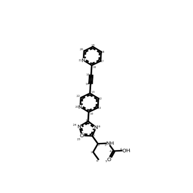 CCC(NC(=O)O)c1nc(-c2ccc(C#Cc3ccccn3)cn2)no1